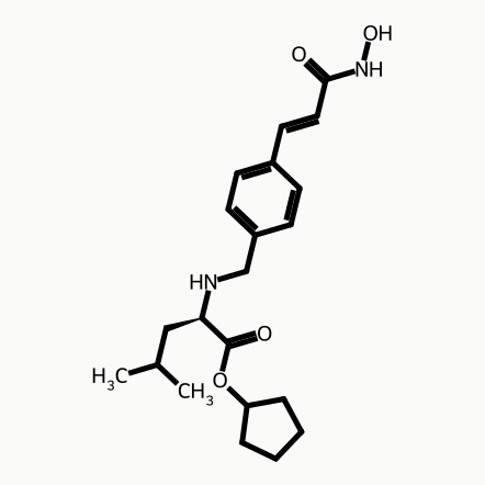 CC(C)C[C@@H](NCc1ccc(C=CC(=O)NO)cc1)C(=O)OC1CCCC1